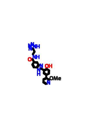 COc1ncccc1-c1ccc(O)c(-c2nc3cc(C(=O)NCCc4nnn[nH]4)ccc3[nH]2)c1